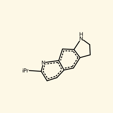 CC(C)c1ccc2cc3c(cc2n1)NCC3